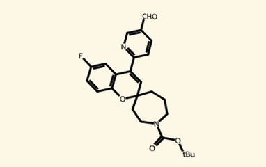 CC(C)(C)OC(=O)N1CCCC2(C=C(c3ccc(C=O)cn3)c3cc(F)ccc3O2)CC1